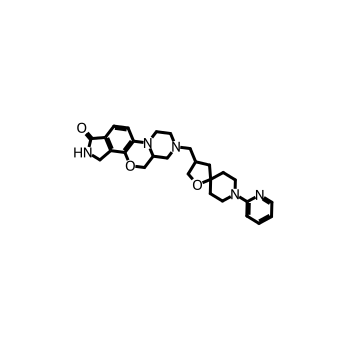 O=C1NCc2c1ccc1c2OCC2CN(CC3COC4(CCN(c5ccccn5)CC4)C3)CCN12